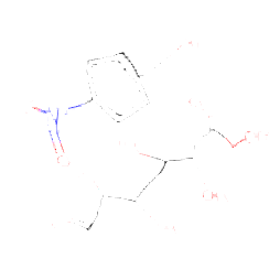 O=CC(O)C(O)C(O)C(O)C(=O)O.O=[N+]([O-])c1ccc(O)cc1